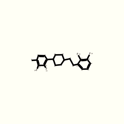 Cc1ccc(C2CCC(CCc3cccc(F)c3F)CC2)c(F)c1F